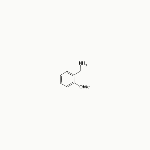 COc1ccccc1[CH]N